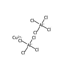 [Cl][Al-]([Cl])([Cl])[Cl].[Cl][Al-]([Cl])([Cl])[Cl].[Cu+2]